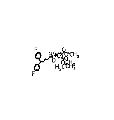 CCOC(=O)[C@@H]1C[C@H](NC(=O)CCCCC(c2ccc(F)cc2)c2ccc(F)cc2)CN1C(=O)OC(C)(C)C